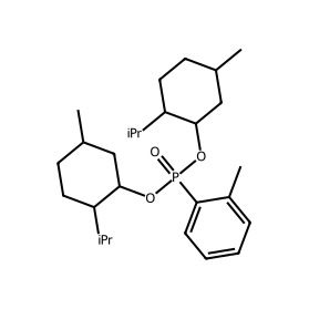 Cc1ccccc1P(=O)(OC1CC(C)CCC1C(C)C)OC1CC(C)CCC1C(C)C